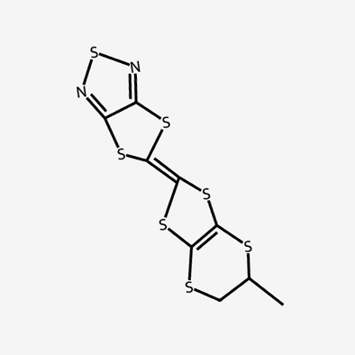 CC1CSC2=C(SC(=C3Sc4nsnc4S3)S2)S1